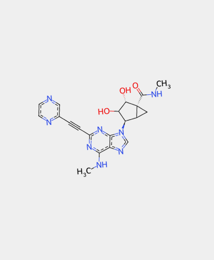 CNC(=O)[C@]12CC1[C@@H](n1cnc3c(NC)nc(C#Cc4cnccn4)nc31)C(O)[C@@H]2O